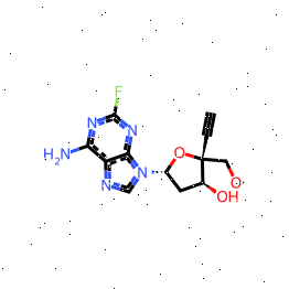 C#C[C@]1(C[O])O[C@@H](n2cnc3c(N)nc(F)nc32)C[C@@H]1O